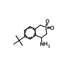 CC(C)(C)c1ccc2c(c1)C(N)CS(=O)(=O)C2